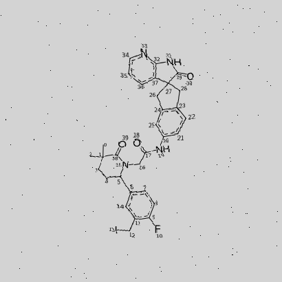 CC1(C)CCC(c2ccc(F)c(CI)c2)N(CC(=O)Nc2ccc3c(c2)CC2(C3)C(=O)Nc3ncccc32)C1=O